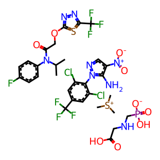 CC(C)N(C(=O)COc1nnc(C(F)(F)F)s1)c1ccc(F)cc1.C[S+](C)C.Nc1c([N+](=O)[O-])cnn1-c1c(Cl)cc(C(F)(F)F)cc1Cl.O=C(O)CNCP(=O)([O-])O